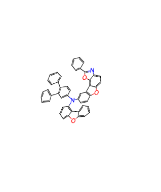 c1ccc(-c2nc3ccc4oc5ccc(N(c6ccc(-c7ccccc7)c(-c7ccccc7)c6)c6cccc7oc8ccccc8c67)cc5c4c3o2)cc1